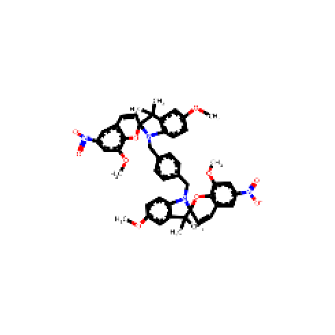 COc1ccc2c(c1)C(C)(C)C1(C=Cc3cc([N+](=O)[O-])cc(OC)c3O1)N2Cc1ccc(CN2c3ccc(OC)cc3C(C)(C)C23C=Cc2cc([N+](=O)[O-])cc(OC)c2O3)cc1